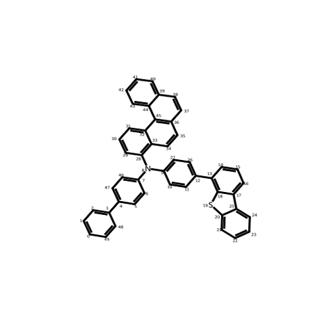 c1ccc(-c2ccc(N(c3ccc(-c4cccc5c4sc4ccccc45)cc3)c3cccc4c3ccc3ccc5ccccc5c34)cc2)cc1